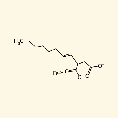 CCCCCCC=CC(CC(=O)[O-])C(=O)[O-].[Fe+2]